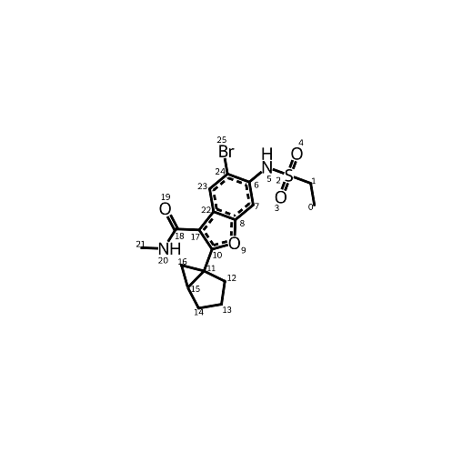 CCS(=O)(=O)Nc1cc2oc(C34CCCC3C4)c(C(=O)NC)c2cc1Br